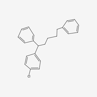 Clc1ccc(C(CCCCc2ccccc2)c2ccccc2)cc1